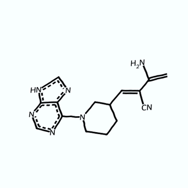 C=C(N)/C(C#N)=C/C1CCCN(c2ncnc3[nH]cnc23)C1